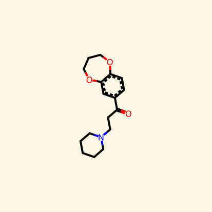 O=C(CCN1CCCCC1)c1ccc2c(c1)OCCCO2